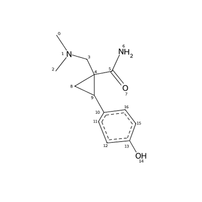 CN(C)CC1(C(N)=O)CC1c1ccc(O)cc1